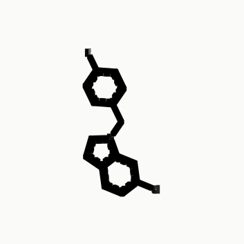 Fc1ccc(Cn2ccc3ccc(Cl)cc32)cc1